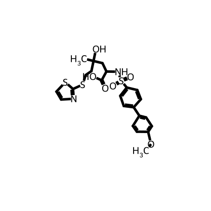 COc1ccc(-c2ccc(S(=O)(=O)NC(CC(C)(O)CCSc3nccs3)C(=O)O)cc2)cc1